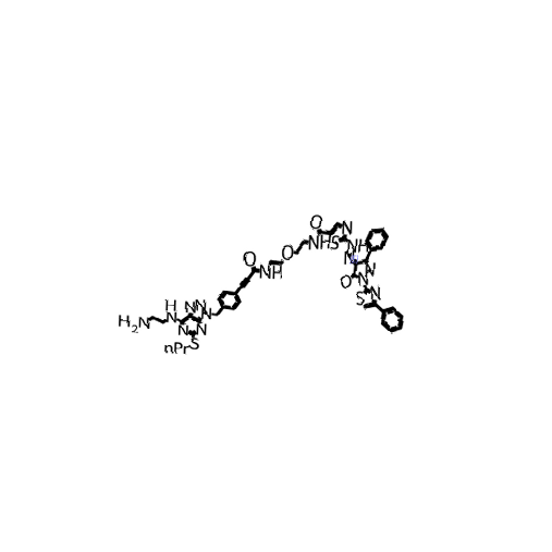 CCCSc1nc(NCCN)c2nnn(Cc3ccc(C#CC(=O)NCCOCCNC(=O)c4cnc(N/N=C5/C(=O)N(c6nc(-c7ccccc7)cs6)N=C5c5ccccc5)s4)cc3)c2n1